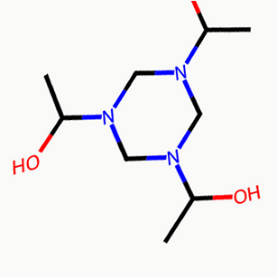 CC(O)N1CN(C(C)O)CN(C(C)O)C1